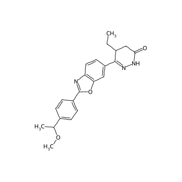 CCC1CC(=O)NN=C1c1ccc2nc(-c3ccc(C(C)OC)cc3)oc2c1